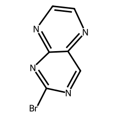 Brc1ncc2nccnc2n1